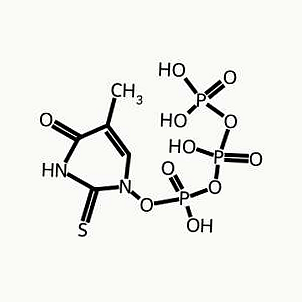 Cc1cn(OP(=O)(O)OP(=O)(O)OP(=O)(O)O)c(=S)[nH]c1=O